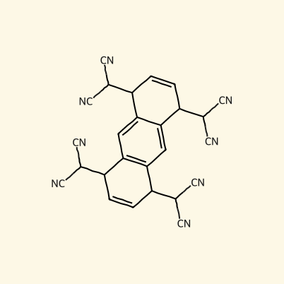 N#CC(C#N)C1C=CC(C(C#N)C#N)c2cc3c(cc21)C(C(C#N)C#N)C=CC3C(C#N)C#N